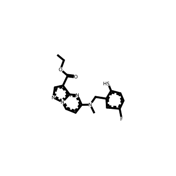 CCOC(=O)c1cnn2ccc(N(C)Cc3cc(F)ccc3S)nc12